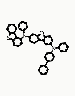 c1ccc(-c2ccc(N(c3ccccc3)c3ccc4oc5cc(N(c6ccccc6)c6cccc7sc8ccccc8c67)ccc5c4c3)cc2)cc1